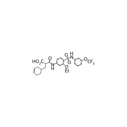 CCOc1cc(NC(=O)C(CC2CC=CCC2)C(=O)O)ccc1S(=O)(=O)Nc1cccc(OC(F)(F)F)c1